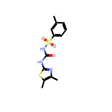 Cc1cccc(S(=O)(=O)NC(=O)Nc2nc(C)c(C)s2)c1